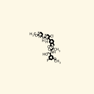 COc1cc(F)cc([C@@H](CO)NC(=O)[C@@H](C)N2Cc3ccc(C4=C(Cl)C=NC(Nc5ccnc(OC)n5)N4)cc3C2=O)c1